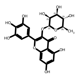 C[C@H]1O[C@@H](Oc2c(-c3cc(O)c(O)c(O)c3)oc3cc(O)cc(O)c3c2=O)[C@@H](O)[C@@H](O)[C@@H]1O